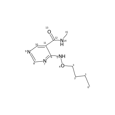 CCCCONc1ncncc1C(=O)NC